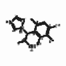 Cc1cc(F)c(F)c(F)c1C(C(C)O)n1cncn1